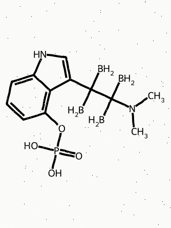 BC(B)(c1c[nH]c2cccc(OP(=O)(O)O)c12)C(B)(B)N(C)C